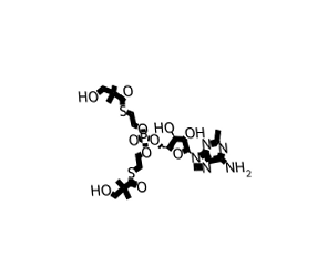 Cc1nc(N)c2ncn([C@@H]3O[C@H](COP(=O)(OCCSC(=O)C(C)(C)CO)OCCSC(=O)C(C)(C)CO)[C@H](O)C3O)c2n1